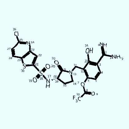 N=C(N)c1ccc(OC(=O)C(F)(F)F)c(CN2CC[C@H](NS(=O)(=O)c3cc4nc(Cl)ccc4s3)C2=O)c1O